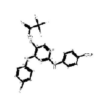 O=C(O)C(F)(F)F.O=C(O)c1ccc(Nc2ncc(Cl)c(Nc3ccc(F)cc3)n2)cc1